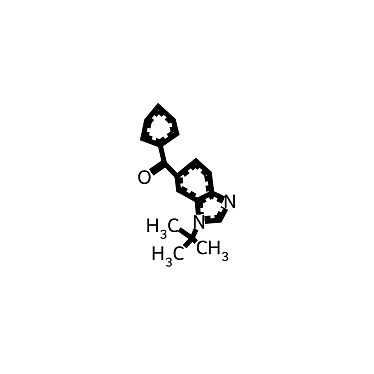 CC(C)(C)n1cnc2ccc(C(=O)c3ccccc3)cc21